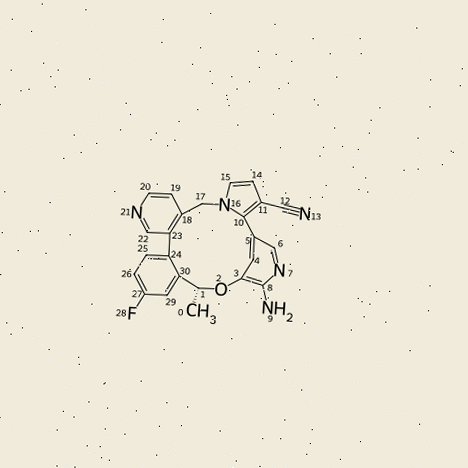 C[C@H]1Oc2cc(cnc2N)-c2c(C#N)ccn2Cc2ccncc2-c2ccc(F)cc21